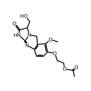 COc1c(OCCOC(C)=O)ccc2c1CN1C(=N2)NC(=O)C1CO